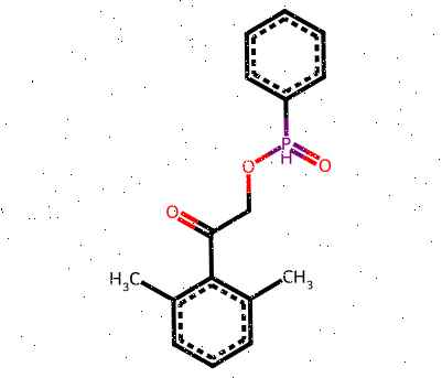 Cc1cccc(C)c1C(=O)CO[PH](=O)c1ccccc1